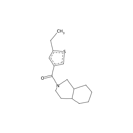 CCc1cc(C(=O)N2CCC3CCCCC3C2)cs1